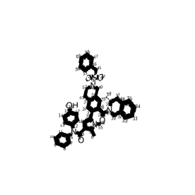 Cc1c(C(=O)N(c2ccccc2)c2ccc(O)cc2)cc(-c2cc3c(cc2C(=O)N2Cc4ccccc4C[C@H]2C)CN(S(=O)(=O)Cc2ccccc2)CC3)n1C